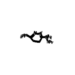 CCCNc1ccc(C(C)C)nn1